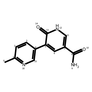 Cc1ccc(-c2cc(C(N)=O)c[nH]c2=O)cn1